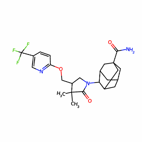 CC1(C)C(=O)N(C2C3CC4CC2CC(C(N)=O)(C4)C3)CC1COc1ccc(C(F)(F)F)cn1